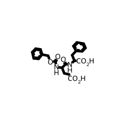 O=C(O)CCC(NC(=O)OCc1ccccc1)C(=O)NC(Cc1ccccc1)C(=O)O